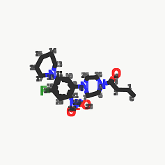 CCCC(=O)N1CCN(c2cc(N3CCCCC3)c(F)cc2[N+](=O)[O-])CC1